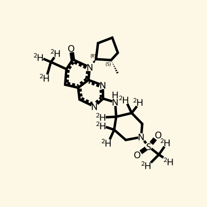 [2H]C([2H])([2H])c1cc2cnc(NC3([2H])C([2H])([2H])CN(S(=O)(=O)C([2H])([2H])[2H])CC3([2H])[2H])nc2n([C@@H]2CCC[C@@H]2C)c1=O